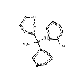 CC(C)(c1ccccc1)c1ccccc1.Oc1ccccc1